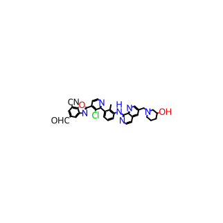 Cc1c(Nc2nccc3cc(CN4CCCC(O)C4)cnc23)cccc1-c1nccc(-c2nc3cc(C=O)cc(C#N)c3o2)c1Cl